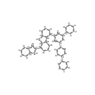 c1ccc(-c2ccc(-c3cc(-c4ccccc4)nc(-c4cccc5sc6c(-c7nc8ccccc8s7)cccc6c45)n3)cc2)cc1